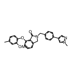 COc1cc(C)ccc1Oc1cccc2c1C(=O)N(Cc1ccc(-c3cnn(C)c3)cc1)C2